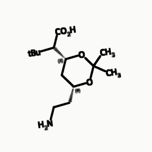 CC1(C)O[C@H](CCN)C[C@H](C(C(=O)O)C(C)(C)C)O1